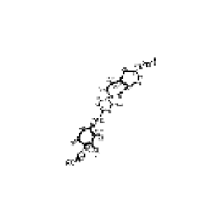 CCCCCC1CCC2CC(C3CCC(COc4ccc(OCC)c(F)c4F)CC3)CCC2C1